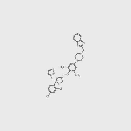 Cc1cc(N2CCN(Cc3nc4ccccc4s3)CC2)cc(C)c1OC[C@@H]1CO[C@@](Cn2ccnc2)(c2ccc(Cl)cc2Cl)O1